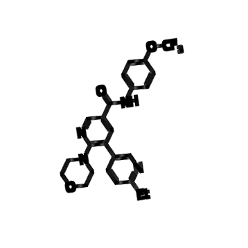 CCc1ccc(-c2cc(C(=O)Nc3ccc(OC(F)(F)F)cc3)cnc2N2CCOCC2)cn1